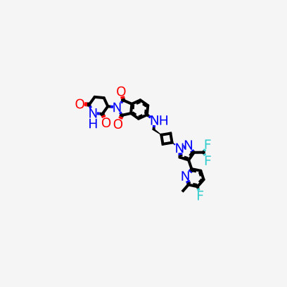 Cc1nc(-c2cn([C@H]3C[C@H](CNc4ccc5c(c4)C(=O)N(C4CCC(=O)NC4=O)C5=O)C3)nc2C(F)F)ccc1F